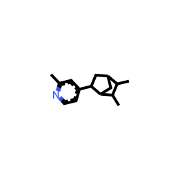 Cc1cc(C2CC3CC2C(C)C3C)ccn1